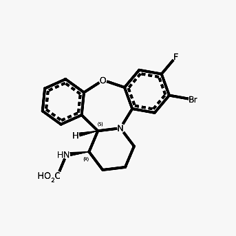 O=C(O)N[C@@H]1CCCN2c3cc(Br)c(F)cc3Oc3ccccc3[C@@H]12